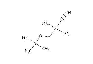 C#CC(C)(C)CO[Si](C)(C)C